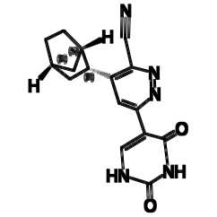 N#Cc1nnc(-c2c[nH]c(=O)[nH]c2=O)cc1[C@@H]1C[C@@H]2CC[C@H]1C2